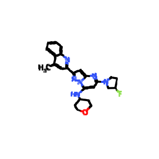 Cc1cc(-c2cc3nc(N4CC[C@@H](F)C4)cc(NC4CCOCC4)n3n2)nc2ccccc12